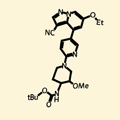 CCOc1cc(-c2ccc(N3CCC(NC(=O)OC(C)(C)C)C(OC)C3)nc2)c2c(C#N)cnn2c1